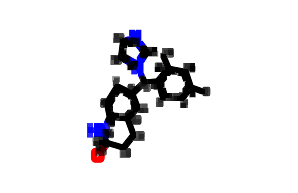 Cc1ccc(C(c2ccc3c(c2)CCC(=O)N3)n2ccnc2)c(C)c1